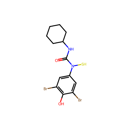 O=C(NC1CCCCC1)N(S)c1cc(Br)c(O)c(Br)c1